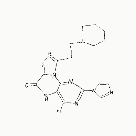 CCc1nc(-n2ccnc2)nc2c1[nH]c(=O)c1cnc(CCC3CCCCC3)n12